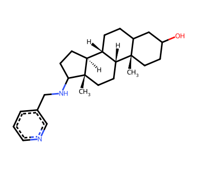 C[C@]12CCC(O)CC1CC[C@@H]1[C@H]2CC[C@]2(C)C(NCc3cccnc3)CC[C@@H]12